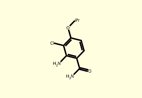 CC(C)Oc1ccc(C(N)=O)c(N)c1Cl